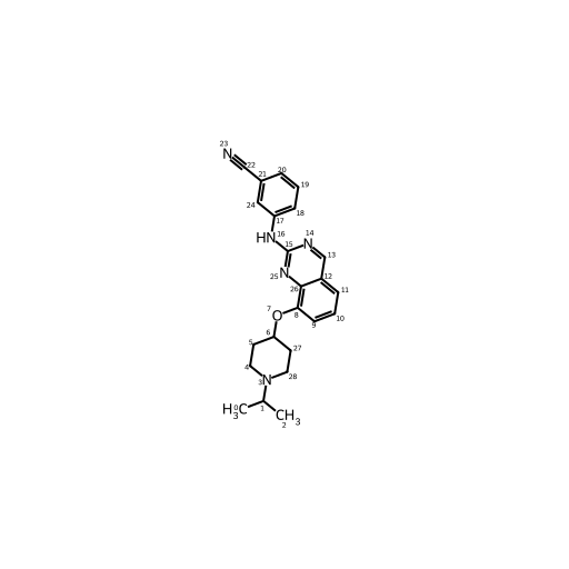 CC(C)N1CCC(Oc2cccc3cnc(Nc4cccc(C#N)c4)nc23)CC1